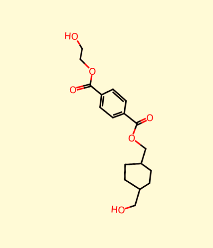 O=C(OCCO)c1ccc(C(=O)OCC2CCC(CO)CC2)cc1